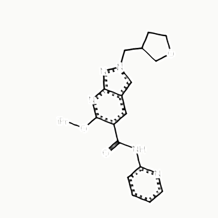 CC(C)Oc1nc2nn(CC3CCOC3)cc2cc1C(=O)Nc1ccccn1